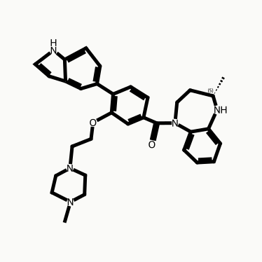 C[C@H]1CCN(C(=O)c2ccc(-c3ccc4[nH]ccc4c3)c(OCCN3CCN(C)CC3)c2)c2ccccc2N1